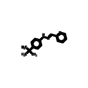 CC(C)(C)c1ccc(NN=Cc2ccccn2)cc1